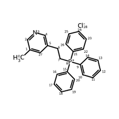 Cc1cncc(CC[P+](c2ccccc2)(c2ccccc2)c2ccccc2)c1.[Cl-]